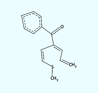 C=C/C=C(\C=C/SC)C(=O)c1ccccc1